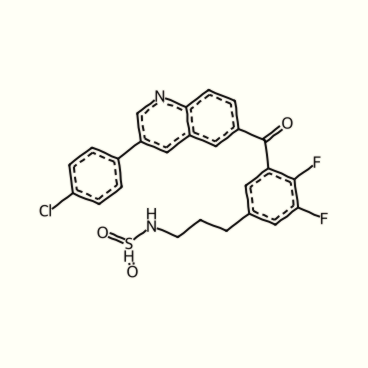 O=C(c1ccc2ncc(-c3ccc(Cl)cc3)cc2c1)c1cc(CCCN[SH](=O)=O)cc(F)c1F